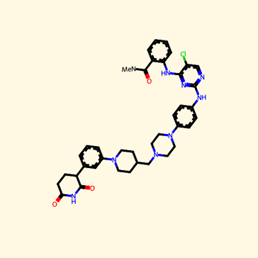 CNC(=O)c1ccccc1Nc1nc(Nc2ccc(N3CCN(CC4CCN(c5cccc(C6CCC(=O)NC6=O)c5)CC4)CC3)cc2)ncc1Cl